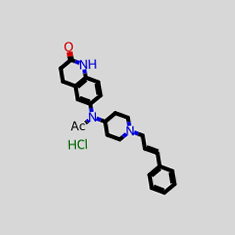 CC(=O)N(c1ccc2c(c1)CCC(=O)N2)C1CCN(C/C=C/c2ccccc2)CC1.Cl